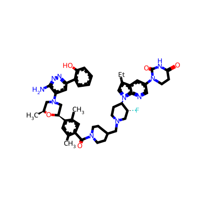 CCc1cn([C@H]2CCN(CC3CCN(C(=O)c4cc(C)c([C@@H]5CN(c6cc(-c7ccccc7O)nnc6N)C[C@H](C)O5)cc4C)CC3)C[C@H]2F)c2ncc(N3CCC(=O)NC3=O)cc12